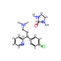 CN(C)CCC(c1ccc(Cl)cc1)c1ccccn1.CN1CCN(C)C1=O